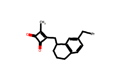 Cc1c(CC2CCCc3ccc(CC(C)C)cc32)c(=O)c1=O